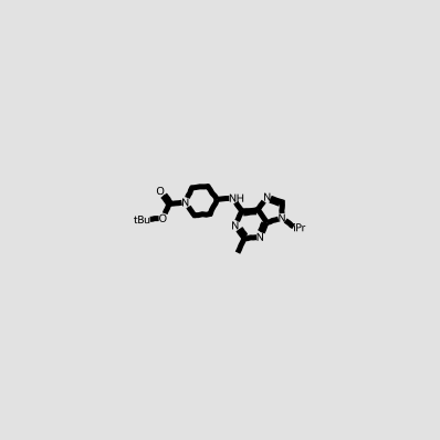 Cc1nc(NC2CCN(C(=O)OC(C)(C)C)CC2)c2ncn(C(C)C)c2n1